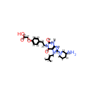 CC(C)=CCn1c(N2CCCC(N)C2)nc2c1c(=O)n(CCc1ccc(OCC(=O)O)cc1)c(=O)n2C